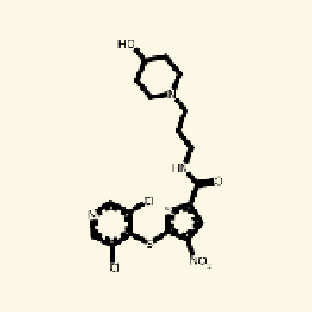 O=C(NCCCN1CCC(O)CC1)c1cc([N+](=O)[O-])c(Sc2c(Cl)cncc2Cl)s1